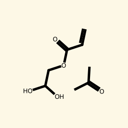 C=CC(=O)OCC(O)O.CC(C)=O